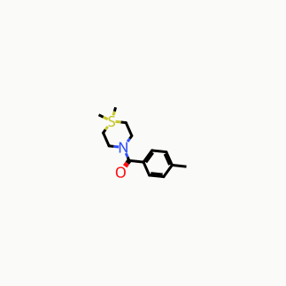 Cc1ccc(C(=O)N2CCS(C)(C)CC2)cc1